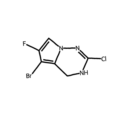 Fc1cn2c(c1Br)CNC(Cl)=N2